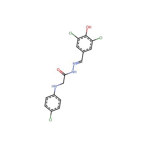 O=C(CNc1ccc(Cl)cc1)NN=Cc1cc(Cl)c(O)c(Cl)c1